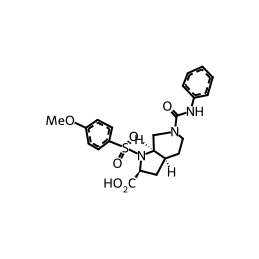 COc1ccc(S(=O)(=O)N2[C@H](C(=O)O)C[C@@H]3CCN(C(=O)Nc4ccccc4)C[C@@H]32)cc1